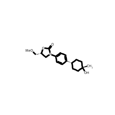 COC[C@H]1CN(c2ccc([C@H]3CC[C@@](C)(O)CC3)cc2)C(=O)O1